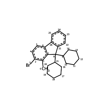 Cc1c(Br)ccc2c1C(C1CCCCC1)(C1CCCCC1)c1ccccc1-2